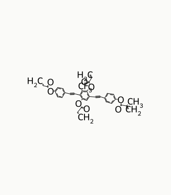 C=CC(=O)Oc1ccc(C#Cc2c(OC(=O)C=C)cc(C#Cc3ccc(OC(=O)C(=C)C)cc3)c(OC(=O)C=C)c2C(F)(F)F)cc1